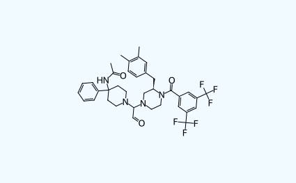 CC(=O)NC1(c2ccccc2)CCN(C(C=O)N2CCN(C(=O)c3cc(C(F)(F)F)cc(C(F)(F)F)c3)[C@H](Cc3ccc(C)c(C)c3)C2)CC1